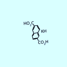 O=C(O)c1ccc2cc(C(=O)O)ccc2c1.[KH]